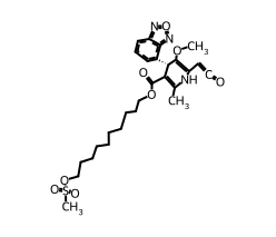 COC1=C(C=C=O)NC(C)=C(C(=O)OCCCCCCCCCCOS(C)(=O)=O)[C@@H]1c1cccc2nonc12